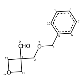 O=CC1(COCc2ccccc2)COC1